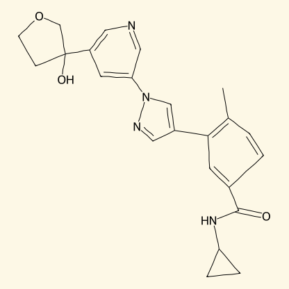 Cc1ccc(C(=O)NC2CC2)cc1-c1cnn(-c2cncc(C3(O)CCOC3)c2)c1